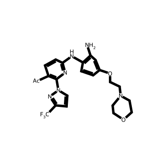 CC(=O)c1ccc(Nc2ccc(OCCN3CCOCC3)cc2N)nc1-n1ccc(C(F)(F)F)n1